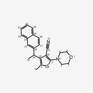 Cc1sc(N2CCOCC2)c(C#N)c1C(C)c1ccc2ccccc2c1